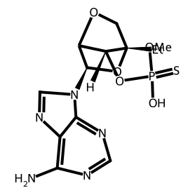 CC[C@@]12COC([C@H](n3cnc4c(N)ncnc43)O1)[C@H]2OP(O)(=S)OC